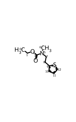 CCOC(=O)N(C)CCc1cccs1